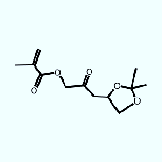 C=C(C)C(=O)OCC(=O)CC1COC(C)(C)O1